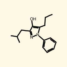 CCCc1c(O)c(CC(C)C)nn1-c1ccccc1